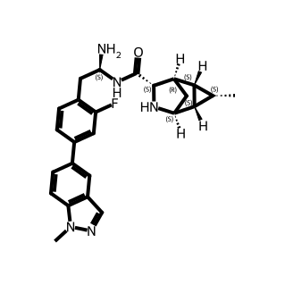 C[C@H]1[C@H]2[C@H]3C[C@H](N[C@@H]3C(=O)N[C@H](N)Cc3ccc(-c4ccc5c(cnn5C)c4)cc3F)[C@@H]12